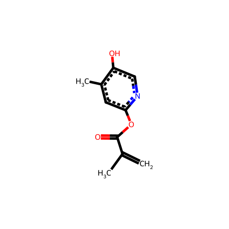 C=C(C)C(=O)Oc1cc(C)c(O)cn1